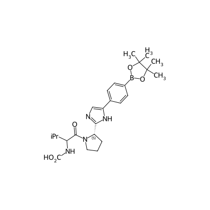 CC(C)C(NC(=O)O)C(=O)N1CCC[C@H]1c1ncc(-c2ccc(B3OC(C)(C)C(C)(C)O3)cc2)[nH]1